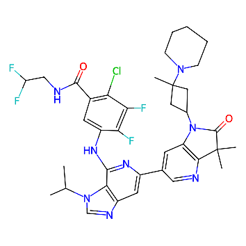 CC(C)n1cnc2cc(-c3cnc4c(c3)N(C3CC(C)(N5CCCCC5)C3)C(=O)C4(C)C)nc(Nc3cc(C(=O)NCC(F)F)c(Cl)c(F)c3F)c21